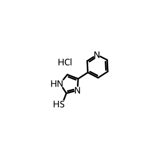 Cl.Sc1nc(-c2cccnc2)c[nH]1